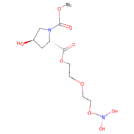 CC(C)(C)OC(=O)N1C[C@H](O)C[C@H]1C(=O)OCCOCCON(O)O